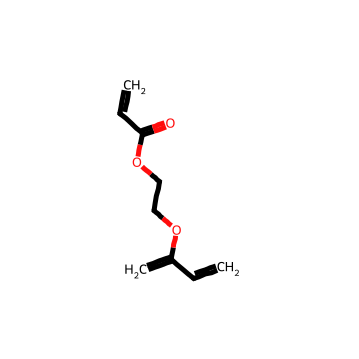 C=CC(=C)OCCOC(=O)C=C